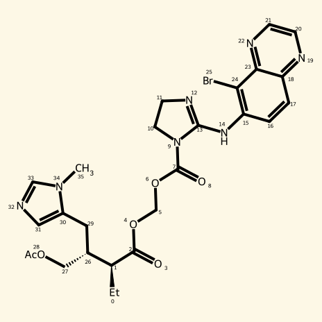 CC[C@H](C(=O)OCOC(=O)N1CCN=C1Nc1ccc2nccnc2c1Br)[C@H](COC(C)=O)Cc1cncn1C